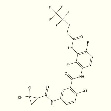 O=C(COC(F)(F)C(F)(F)F)Nc1c(F)ccc(NC(=O)c2cc(NC(=O)C3CC3(Cl)Cl)ccc2Cl)c1F